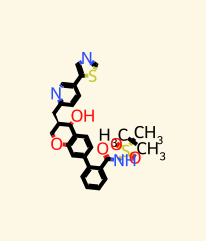 CC(C)(C)S(=O)(=O)NC(=O)c1ccccc1-c1ccc2c(c1)OC[C@@H](Cc1ccc(-c3cncs3)cn1)C2O